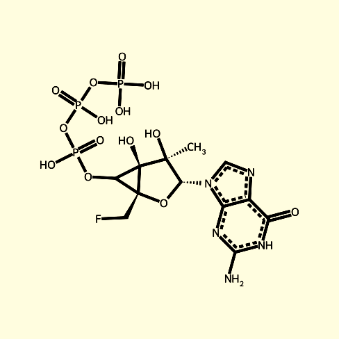 C[C@]1(O)[C@H](n2cnc3c(=O)[nH]c(N)nc32)O[C@]2(CF)C(OP(=O)(O)OP(=O)(O)OP(=O)(O)O)[C@]12O